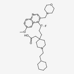 COc1ccc2ncc(CN3CCOCC3)c([C@H](F)CCC3(CC(=O)O)CCN(CCC4CCCCC4)CC3)c2c1